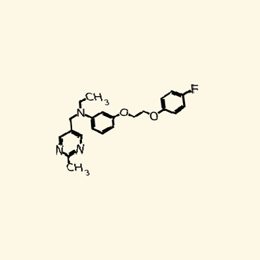 CCN(Cc1cnc(C)nc1)c1cccc(OCCOc2ccc(F)cc2)c1